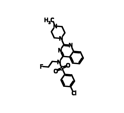 CN1CCN(c2nc(N(CCF)S(=O)(=O)c3ccc(Cl)cc3)c3ccccc3n2)CC1